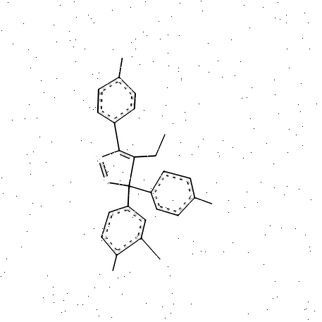 CCC1=C(c2ccc(O)cc2)N=NC1(c1ccc(O)cc1)c1ccc(C)c(C)c1